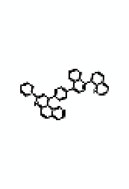 c1ccc(-c2cc(-c3ccc(-c4ccc(-c5cccc6cccnc56)c5ccccc45)cc3)c3c(ccc4ccccc43)n2)cc1